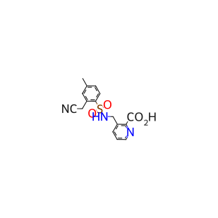 Cc1ccc(S(=O)(=O)NCc2cccnc2C(=O)O)c(CC#N)c1